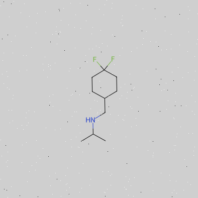 CC(C)NCC1CCC(F)(F)CC1